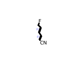 N#C/C=C/C=C/CF